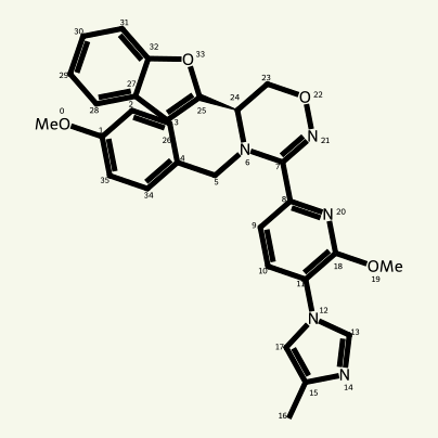 COc1ccc(CN2C(c3ccc(-n4cnc(C)c4)c(OC)n3)=NOC[C@@H]2c2cc3ccccc3o2)cc1